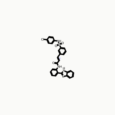 O=C(/C=C/c1cccc(S(=O)(=O)Nc2ccc(Cl)cc2)c1)Nc1ccccc1-c1nc2ccccc2[nH]1